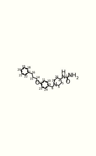 NC(=O)NC1CCN(Cc2ccc(OCCCc3ccccc3)cc2)CC1